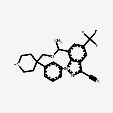 CC(OCC1(c2ccccc2)CCNCC1)c1cc(C(F)(F)F)cc2c(C#N)n[nH]c12